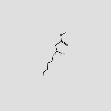 CCCCCCC(O)CC(=O)OC